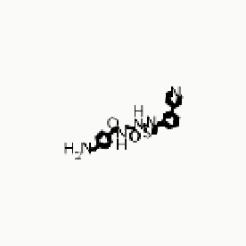 NCc1ccc(C(=O)NCC(=O)Nc2nc(-c3cccc(-c4ccncc4)c3)cs2)cc1